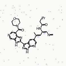 C=N/C=C(\C=C(/C)c1cnc2[nH]nc(-c3nc4c(C(=O)N5CCOCC5)cncc4[nH]3)c2c1)NC(=O)CC(C)C